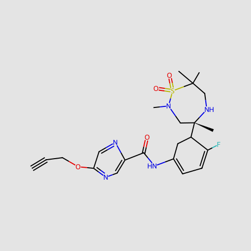 C#CCOc1cnc(C(=O)NC2=CC=C(F)C([C@]3(C)CN(C)S(=O)(=O)C(C)(C)CN3)C2)cn1